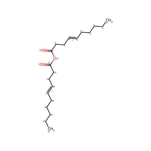 CCCCC/C=C/CCC(=O)OC(=O)CC/C=C/CCCCC